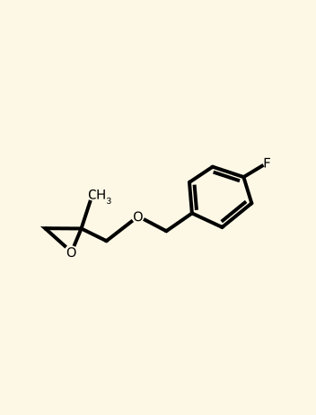 CC1(COCc2ccc(F)cc2)CO1